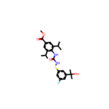 COC(=O)c1cc(C(C)C)c(NC(=O)NSc2cc(F)cc(C(C)(C)O)c2)c(C(C)C)c1